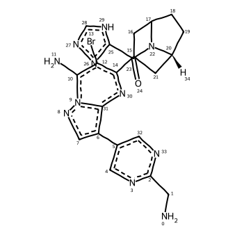 NCc1ncc(-c2cnn3c(N)c(Br)c(C4CC5CC[C@H](C4)N5C(=O)c4nnc[nH]4)nc23)cn1